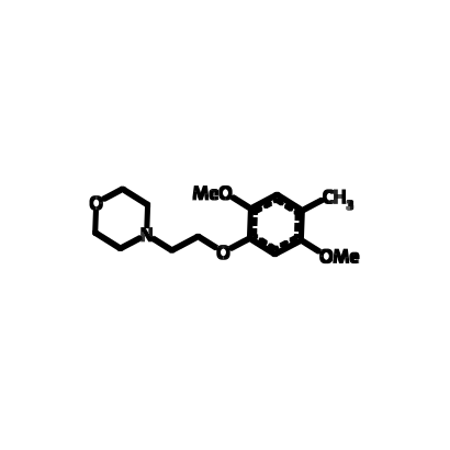 COc1cc(OCCN2CCOCC2)c(OC)cc1C